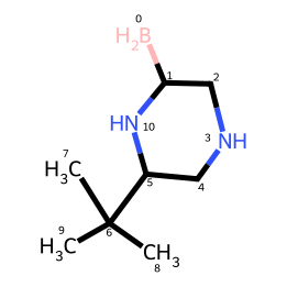 BC1CNCC(C(C)(C)C)N1